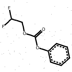 O=C(OCC(F)F)Oc1ccccc1